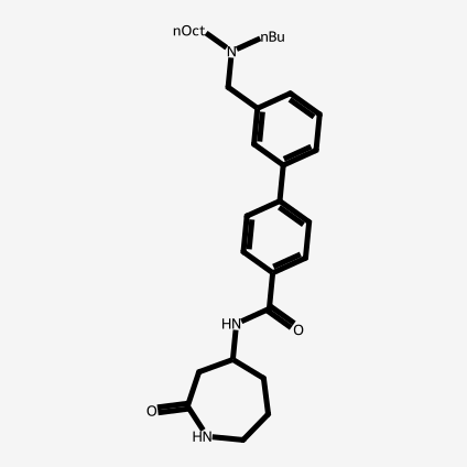 CCCCCCCCN(CCCC)Cc1cccc(-c2ccc(C(=O)NC3CCCNC(=O)C3)cc2)c1